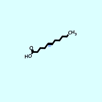 CCCCC/C=C/CCCC(=O)O